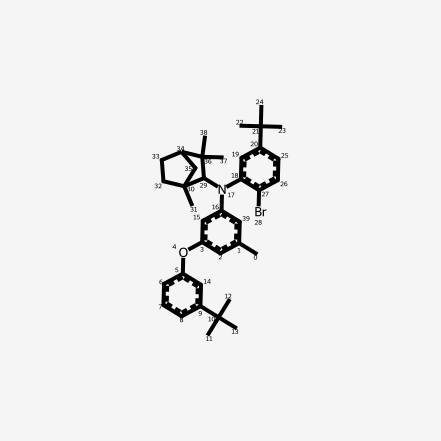 Cc1cc(Oc2cccc(C(C)(C)C)c2)cc(N(c2cc(C(C)(C)C)ccc2Br)C2C3(C)CCC(C3)C2(C)C)c1